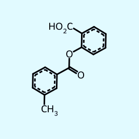 Cc1cccc(C(=O)Oc2ccccc2C(=O)O)c1